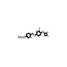 COc1ccc(COc2ccc(OC3CCC3)c(I)c2)cc1